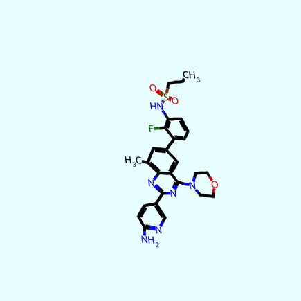 CCCS(=O)(=O)Nc1cccc(-c2cc(C)c3nc(-c4ccc(N)nc4)nc(N4CCOCC4)c3c2)c1F